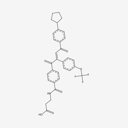 O=C(O)CCNC(=O)c1ccc(C(=O)C(=CC(=O)c2ccc(C3CCCC3)cc2)c2ccc(OC(F)(F)F)cc2)cc1